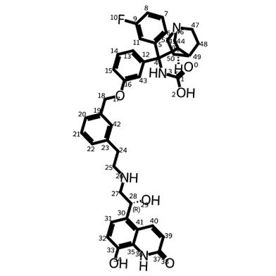 O=C(O)NC(c1cccc(F)c1)(c1cccc(OCc2cccc(CCNC[C@H](O)c3ccc(O)c4[nH]c(=O)ccc34)c2)c1)[C@H]1CN2CCC1CC2